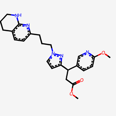 COC(=O)CC(c1ccc(OC)nc1)c1ccn(CCCc2ccc3c(n2)NCCC3)n1